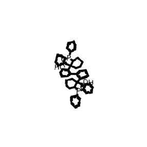 O=C(O)C1(c2ccccc2-c2ccccc2C2(C(=O)O)CCCCC2P(c2ccccc2)c2ccccc2)CCCCC1P(c1ccccc1)c1ccccc1